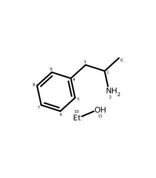 CC(N)Cc1ccccc1.CCO